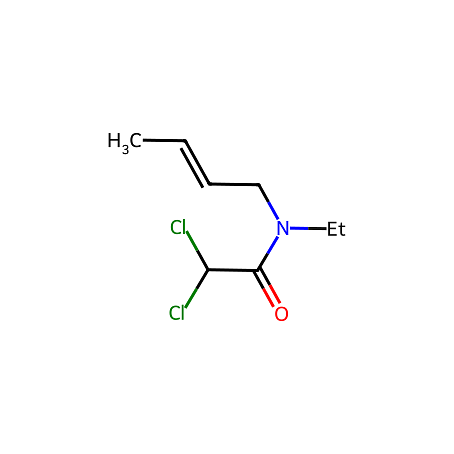 CC=CCN(CC)C(=O)C(Cl)Cl